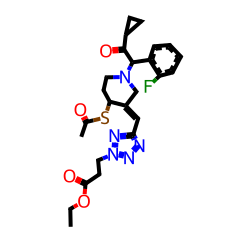 CCOC(=O)CCn1nnc(C=C2CN(C(C(=O)C3CC3)c3ccccc3F)CCC2SC(C)=O)n1